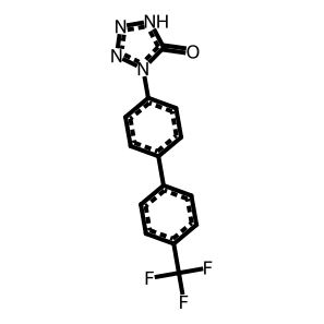 O=c1[nH]nnn1-c1ccc(-c2ccc(C(F)(F)F)cc2)cc1